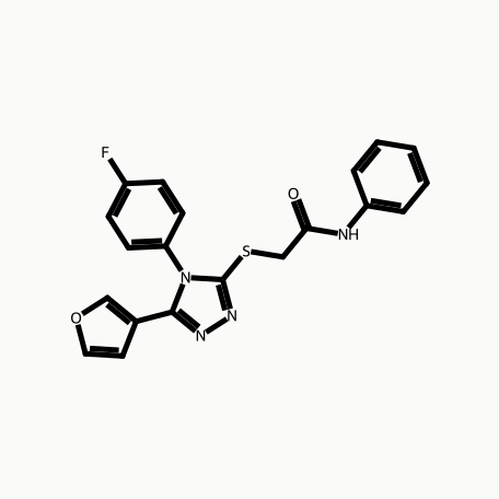 O=C(CSc1nnc(-c2ccoc2)n1-c1ccc(F)cc1)Nc1ccccc1